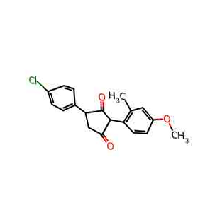 COc1ccc(C2C(=O)CC(c3ccc(Cl)cc3)C2=O)c(C)c1